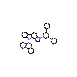 c1ccc(-c2cc(-c3ccccc3)cc(-n3ccc4c3ccc3c5ccccc5n(-c5cc6ccccc6c6ccccc56)c34)c2)cc1